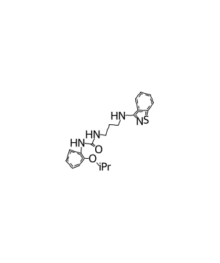 CC(C)Oc1ccccc1NC(=O)NCCCNc1nsc2ccccc12